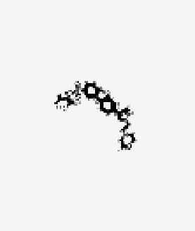 CC(C)[C@@H](NS(=O)(=O)c1ccc2oc3cc(-c4cnn(CCN5CCOCC5)c4)ccc3c2c1)C(=O)O